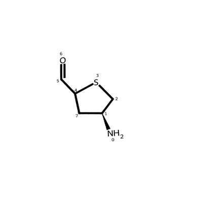 N[C@@H]1CSC(C=O)C1